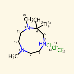 CN1CCNC[C](C)([Ti+3])N(C)CC1.[Cl-].[Cl-].[Cl-]